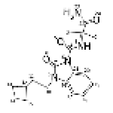 CC(C)(NC(=O)n1c(=O)n(CCC2CCC2)c2ccccc21)C(N)=O